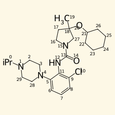 CC(C)N1CCN(c2cccc(Cl)c2NC(=O)N2CCC(C)(OC3CCCCC3)C2)CC1